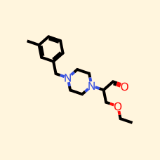 CCOCC(C=O)N1CCN(Cc2cccc(C)c2)CC1